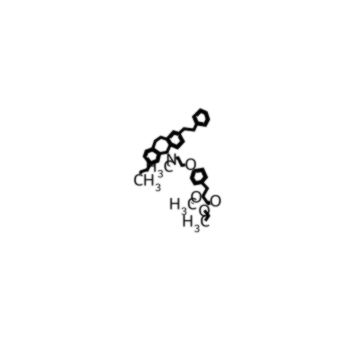 CCCc1ccc2c(c1)C(N(C)CCOc1ccc(CC(OC)C(=O)OCC)cc1)c1ccc(CCc3ccccc3)cc1CC2